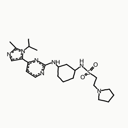 Cc1ncc(-c2ccnc(NC3CCCC(NS(=O)(=O)CCN4CCCC4)C3)n2)n1C(C)C